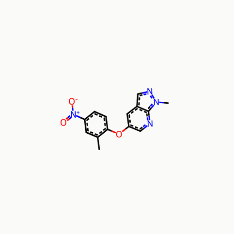 Cc1cc([N+](=O)[O-])ccc1Oc1cnc2c(cnn2C)c1